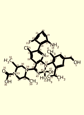 Cc1cc(CO)cc(C(C)C)c1N1c2nc(-c3c(N)cccc3F)c(Cl)cc2C(N2CC(C)N(C(=O)O)CC2C)=NS1(O)O